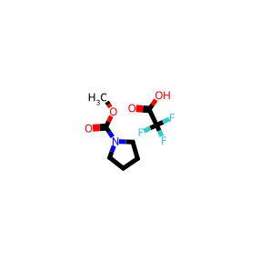 COC(=O)N1CCCC1.O=C(O)C(F)(F)F